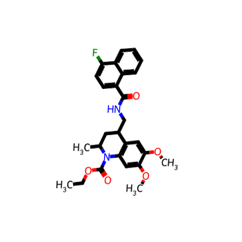 CCOC(=O)N1c2cc(OC)c(OC)cc2C(CNC(=O)c2ccc(F)c3ccccc23)CC1C